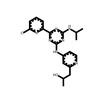 CC(O)Cc1cc(Nc2nc(NC(C)C)nc(-c3cccc(Cl)n3)n2)ccn1